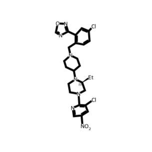 CC[C@H]1CN(c2ncc([N+](=O)[O-])cc2Cl)CCN1C1CCN(Cc2ccc(Cl)cc2-c2ncon2)CC1